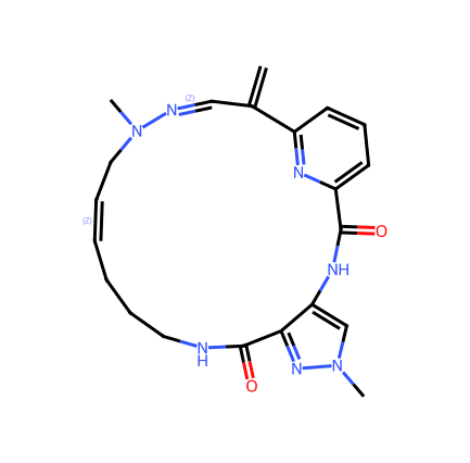 C=C1/C=N\N(C)C/C=C\CCCNC(=O)c2nn(C)cc2NC(=O)c2cccc1n2